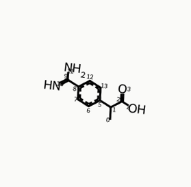 CC(C(=O)O)c1ccc(C(=N)N)cc1